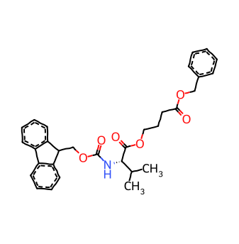 CC(C)[C@H](NC(=O)OCC1c2ccccc2-c2ccccc21)C(=O)OCCCC(=O)OCc1ccccc1